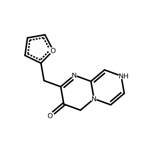 O=C1CN2C=CNC=C2N=C1Cc1ccco1